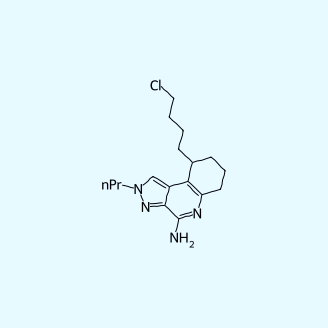 CCCn1cc2c3c(nc(N)c2n1)CCCC3CCCCCl